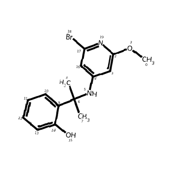 COc1cc(NC(C)(C)c2ccccc2O)cc(Br)n1